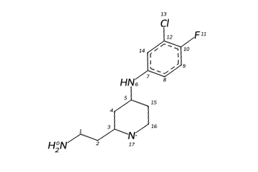 NCCC1CC(Nc2ccc(F)c(Cl)c2)CC[N]1